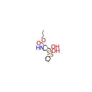 CCCCOC(=O)C1=CC2=C(O)C(O)(Sc3ccccc3)SC2=CN1